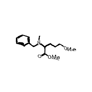 COCCCC(C(=O)OC)N(C)Cc1ccccc1